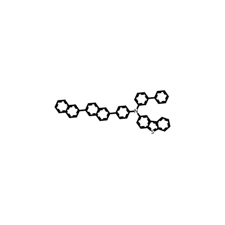 c1ccc(-c2cccc(N(c3ccc(-c4ccc5cc(-c6ccc7ccccc7c6)ccc5c4)cc3)c3ccc4sc5ccccc5c4c3)c2)cc1